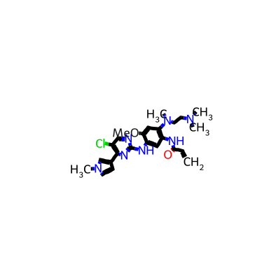 C=CC(=O)Nc1cc(Nc2ncc(Cl)c(-c3ccn(C)c3)n2)c(OC)cc1N(C)CCN(C)C